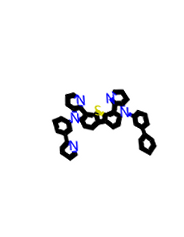 c1ccc(-c2cccc(-n3c4cccnc4c4c5sc6c(ccc7c6c6ncccc6n7-c6cccc(-c7ccccn7)c6)c5ccc43)c2)cc1